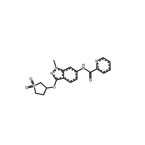 Cn1nc(OC2CCS(=O)(=O)C2)c2ccc(NC(=O)c3ccccn3)cc21